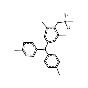 CC[N+](C)(CC)Cc1c(C)cc(N(c2ccc(C)cc2)c2ccc(C)cc2)cc1C